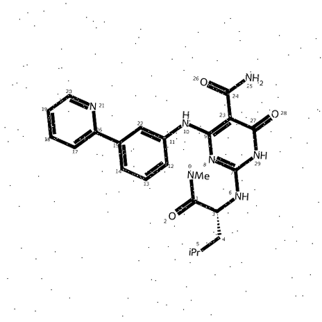 CNC(=O)[C@@H](CC(C)C)Nc1nc(Nc2cccc(-c3ccccn3)c2)c(C(N)=O)c(=O)[nH]1